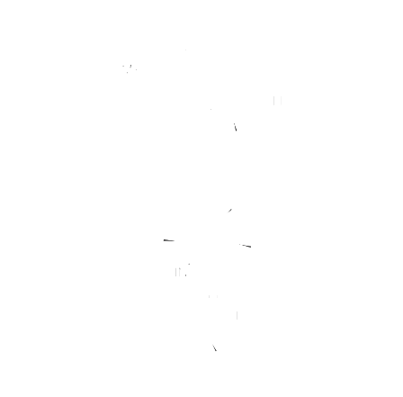 COC(=O)C[C@@H]1C[C@@]2(CO2)[C@H](O)[C@@H](/C=C/C(C)=C/C[C@@H]2O[C@H](C)[C@H](NC(=O)/C=C\[C@H](C)O)C[C@@H]2C)O1